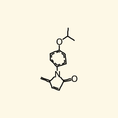 C=C1C=CC(=O)N1c1ccc(OC(C)C)cc1